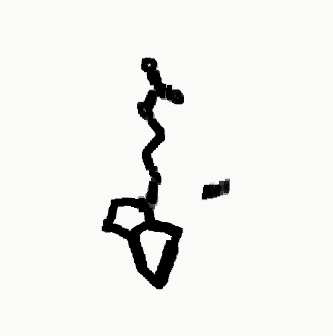 O=[SH](=O)OCCSN1CSc2ccccc21.[NaH]